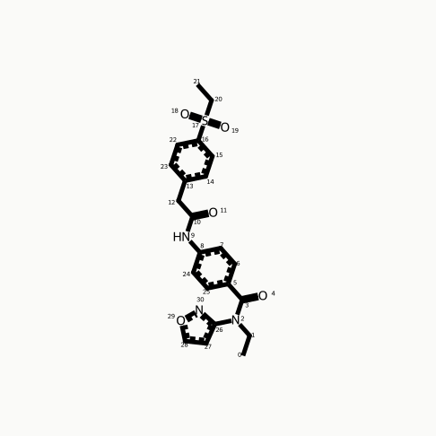 CCN(C(=O)c1ccc(NC(=O)Cc2ccc(S(=O)(=O)CC)cc2)cc1)c1ccon1